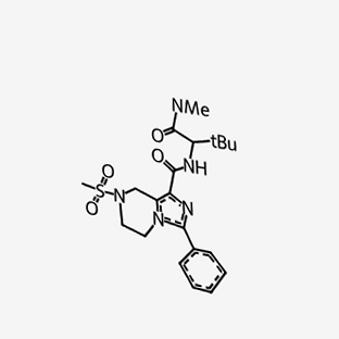 CNC(=O)C(NC(=O)c1nc(-c2ccccc2)n2c1CN(S(C)(=O)=O)CC2)C(C)(C)C